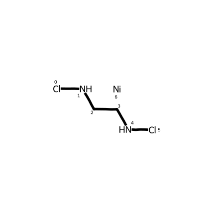 ClNCCNCl.[Ni]